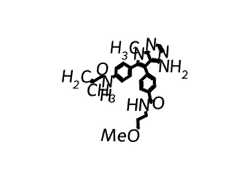 C=C(C)C(=O)Nc1ccc(-c2c(-c3ccc(C(=O)NCCCOC)cc3)c3c(N)ncnc3n2C)cc1